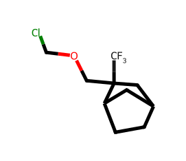 FC(F)(F)C1(COCCl)CC2CCC1C2